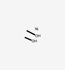 CO.CO.[Ni]